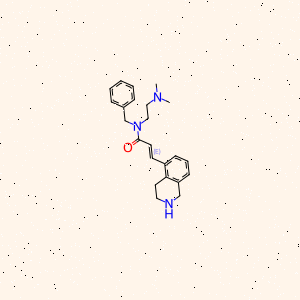 CN(C)CCN(Cc1ccccc1)C(=O)/C=C/c1cccc2c1CCNC2